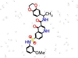 COc1cccc(NS(=O)(=O)c2ccc3[nH]cc(C(=O)NC(C)c4ccc5c(c4)OCCO5)c(=O)c3c2)c1